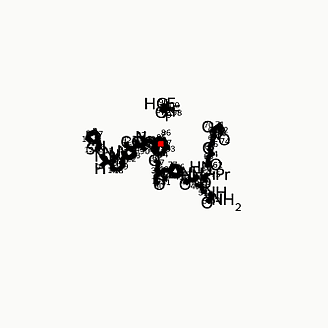 Cc1c(Nc2nc3ccccc3s2)nnc2c1CCCN2c1ccc(-c2cnn(CC34CC5(C)CC(OCC[N+]6(Cc7ccc(NC(=O)[C@H](CCCNC(N)=O)NC(=O)[C@@H](NC(=O)CCOCCN8C(=O)C=CC8=O)C(C)C)cc7)CCOCC6)(C3)C[C@](C)(C5)C4)c2C)c(C(=O)[O-])n1.O=C(O)C(F)(F)F